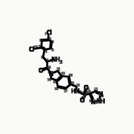 N[C@H](Cc1ccc(Cl)cc1Cl)C(=O)N1Cc2ccc(CNS(=O)(=O)c3cn[nH]n3)cc2C1